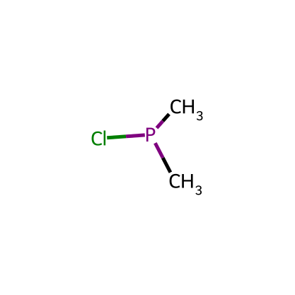 CP(C)Cl